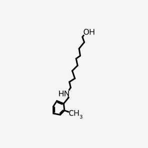 Cc1ccccc1CNCCCCCCCCCCO